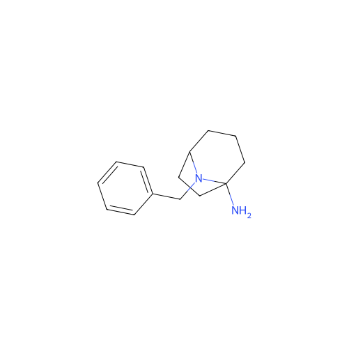 NC12CCCC(CC1)N2Cc1ccccc1